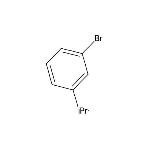 C[C](C)c1cccc(Br)c1